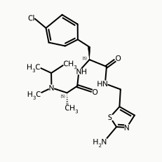 CC(C)N(C)[C@@H](C)C(=O)N[C@@H](Cc1ccc(Cl)cc1)C(=O)NCc1cnc(N)s1